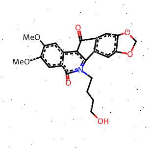 COc1cc2c3c(n(CCCCO)c(=O)c2cc1OC)-c1cc2c(cc1C3=O)OCO2